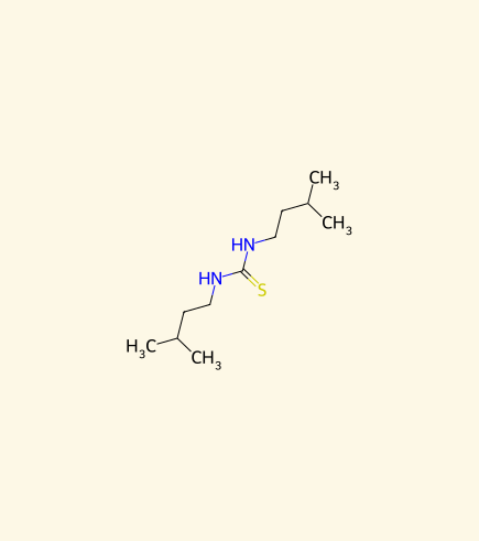 CC(C)CCNC(=S)NCCC(C)C